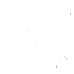 CCn1ncc2cc(-c3cc(CCC(=O)O)cc(F)c3OCCc3ccccc3)ccc21